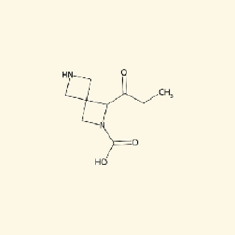 CCC(=O)C1N(C(=O)O)CC12CNC2